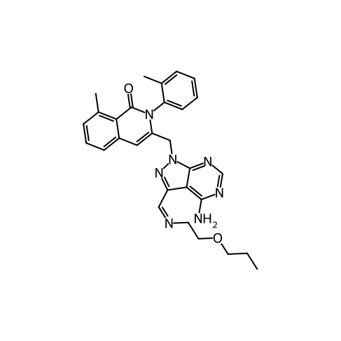 CCCOCC/N=C\c1nn(Cc2cc3cccc(C)c3c(=O)n2-c2ccccc2C)c2ncnc(N)c12